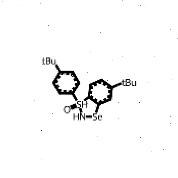 CC(C)(C)c1ccc([SH]2(=O)N[Se]c3cc(C(C)(C)C)ccc32)cc1